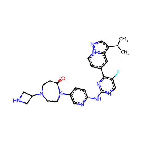 CC(C)c1cnn2ccc(-c3nc(Nc4ccc(N5CCN(C6CNC6)CCC5=O)cn4)ncc3F)cc12